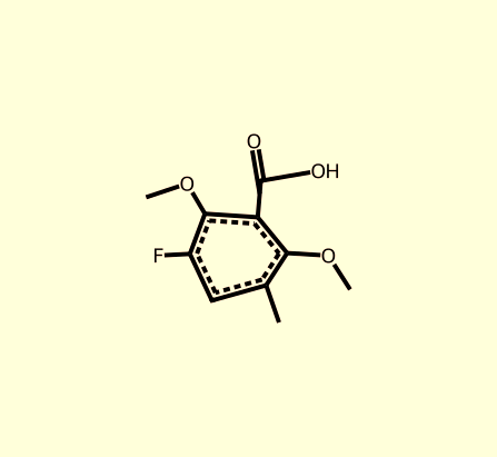 COc1c(C)cc(F)c(OC)c1C(=O)O